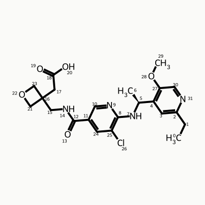 CCc1cc([C@H](C)Nc2ncc(C(=O)NCC3(CC(=O)O)COC3)cc2Cl)c(OC)cn1